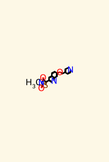 CN1C(=O)SC(c2cnc3cc(OCc4ccncc4)ccc3c2)C1=O